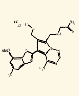 CCOCc1c(-c2cc3cc(C)cc(OC)c3s2)c2c(N)ncnn2c1CNCC(N)=O.Cl.Cl